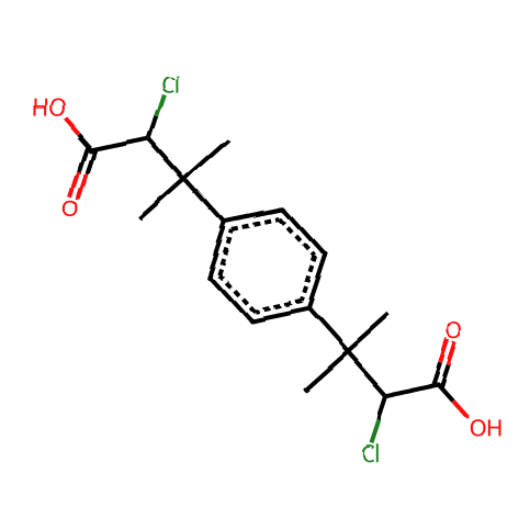 CC(C)(c1ccc(C(C)(C)C(Cl)C(=O)O)cc1)C(Cl)C(=O)O